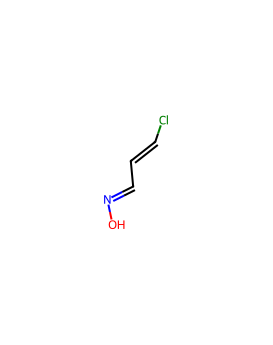 ON=C/C=C/Cl